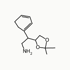 CC1(C)OCC(C(CN)C2=CC=CCC2)O1